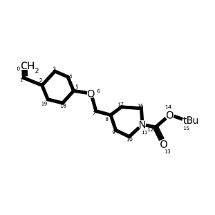 C=CC1CCC(OCC2CCN(C(=O)OC(C)(C)C)CC2)CC1